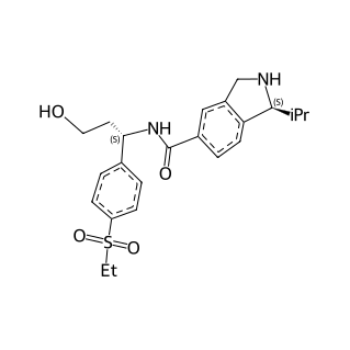 CCS(=O)(=O)c1ccc([C@H](CCO)NC(=O)c2ccc3c(c2)CN[C@H]3C(C)C)cc1